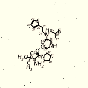 CC(C)(C)[C@H](N)C(=O)N1CCC[C@H]1C(=O)N[C@@H](CC(F)F)C(=O)NCCc1cccs1